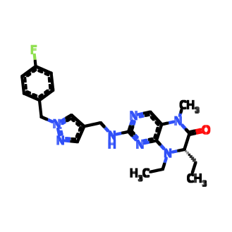 CC[C@H]1C(=O)N(C)c2cnc(NCc3cnn(Cc4ccc(F)cc4)c3)nc2N1CC